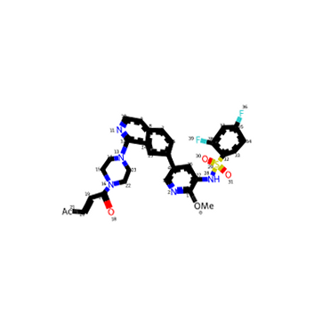 COc1ncc(-c2ccc3ccnc(N4CCN(C(=O)/C=C/C(C)=O)CC4)c3c2)cc1NS(=O)(=O)c1ccc(F)cc1F